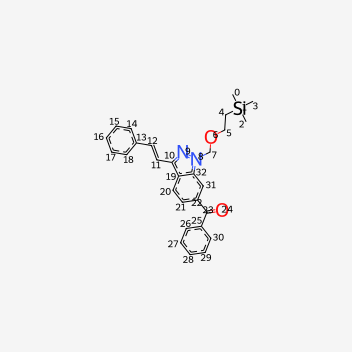 C[Si](C)(C)CCOCn1nc(/C=C/c2ccccc2)c2ccc(C(=O)c3ccccc3)cc21